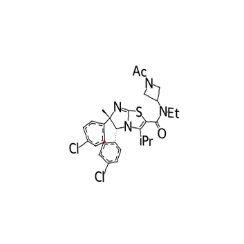 CCN(C(=O)C1=C(C(C)C)N2C(=N[C@@](C)(c3ccc(Cl)cc3)[C@H]2c2ccc(Cl)cc2)S1)C1CN(C(C)=O)C1